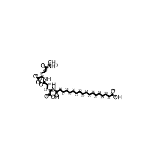 CNC(=O)CC[C@H](NC(=O)CC[C@H](NC(=O)CCCCCCCCCCCCCCCCC(=O)O)C(=O)O)C(=O)O